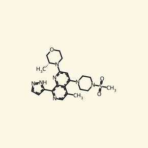 Cc1cnc(-c2ccn[nH]2)c2nc(N3CCOC[C@H]3C)cc(N3CCN(S(C)(=O)=O)CC3)c12